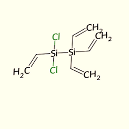 C=C[Si](Cl)(Cl)[Si](C=C)(C=C)C=C